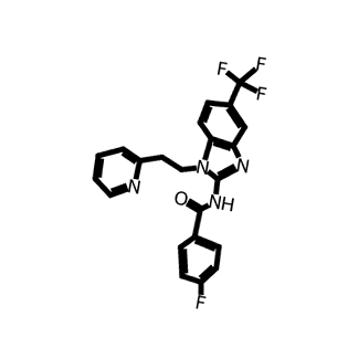 O=C(Nc1nc2cc(C(F)(F)F)ccc2n1CCc1ccccn1)c1ccc(F)cc1